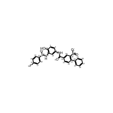 O=C(Nc1ccc(O)c(N[S+]([O-])c2ccc(F)cc2)c1)c1ccc(-c2ccccc2)c([N+](=O)[O-])c1